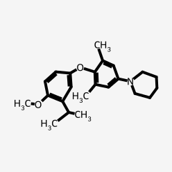 COc1ccc(Oc2c(C)cc(N3CCCCC3)cc2C)cc1C(C)C